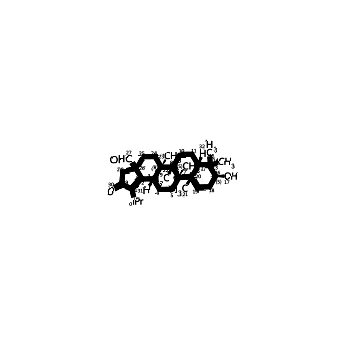 CC(C)C1=C2[C@H]3CC[C@@]4(C)[C@@](C)(CC[C@@H]5C(C)(C)[C@@H](O)CC[C@@]54C)[C@]3(C)CCC2(C=O)CC1=O